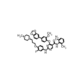 COc1cc(-c2ccc3c(c2)OCO3)ccc1Oc1nc(Nc2ccc(OCCCN3CCN(C)CC3)c(F)c2)ncc1C(=O)Nc1c(C)cccc1C